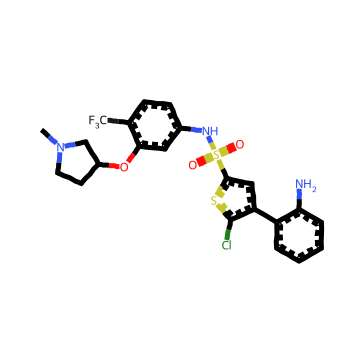 CN1CCC(Oc2cc(NS(=O)(=O)c3cc(-c4ccccc4N)c(Cl)s3)ccc2C(F)(F)F)C1